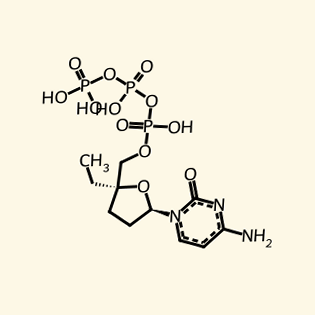 CC[C@@]1(COP(=O)(O)OP(=O)(O)OP(=O)(O)O)CC[C@H](n2ccc(N)nc2=O)O1